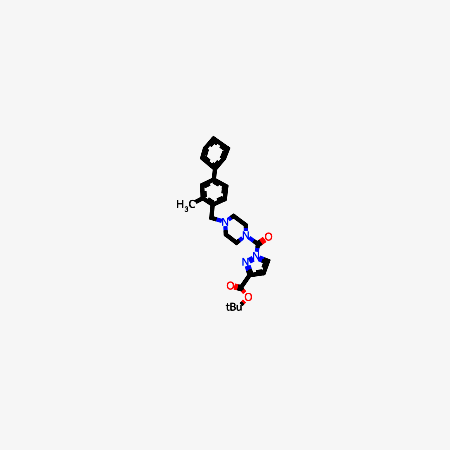 Cc1cc(-c2ccccc2)ccc1CN1CCN(C(=O)n2ccc(C(=O)OC(C)(C)C)n2)CC1